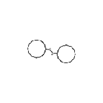 C1CCCCCC(SSC2CCCCCCCCCCC2)CCCCC1